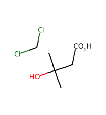 CC(C)(O)CC(=O)O.ClCCl